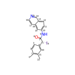 Cc1ccc([C@@H](I)C(=O)Nc2ccc3cnccc3c2)cc1C